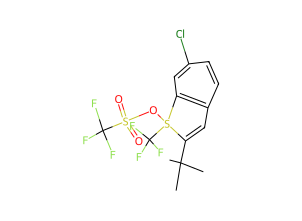 CC(C)(C)C1=Cc2ccc(Cl)cc2S1(OS(=O)(=O)C(F)(F)F)C(F)(F)F